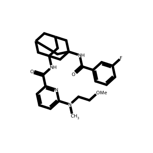 COCCN(C)c1cccc(C(=O)NC23CC4CC(CC(NC(=O)c5cccc(F)c5)(C4)C2)C3)n1